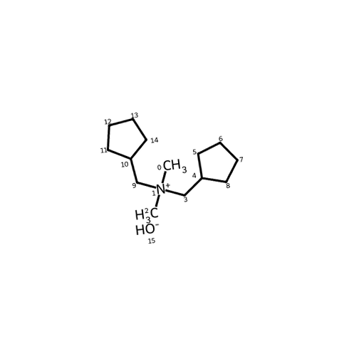 C[N+](C)(CC1CCCC1)CC1CCCC1.[OH-]